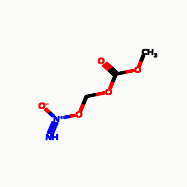 COC(=O)OCO[N+](=N)[O-]